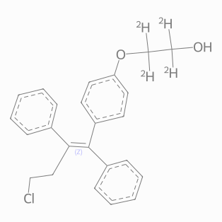 [2H]C([2H])(O)C([2H])([2H])Oc1ccc(/C(=C(/CCCl)c2ccccc2)c2ccccc2)cc1